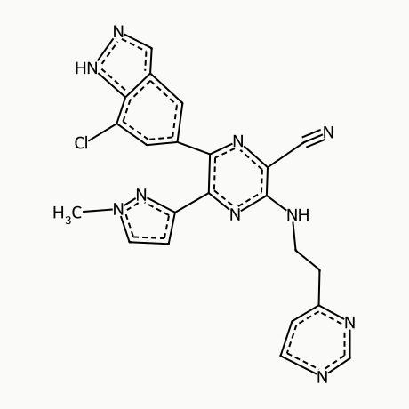 Cn1ccc(-c2nc(NCCc3ccncn3)c(C#N)nc2-c2cc(Cl)c3[nH]ncc3c2)n1